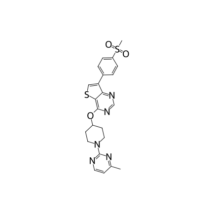 Cc1ccnc(N2CCC(Oc3ncnc4c(-c5ccc(S(C)(=O)=O)cc5)csc34)CC2)n1